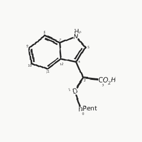 CCCCCOC(C(=O)O)c1c[nH]c2ccccc12